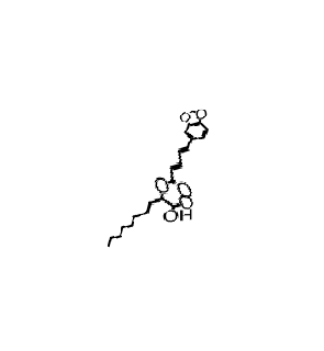 CCCCCCCCC(OC(=O)C=CC=Cc1ccc2c(c1)OCO2)C(=O)O